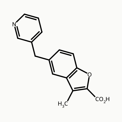 Cc1c(C(=O)O)oc2ccc(Cc3cccnc3)cc12